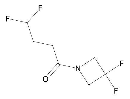 O=C(CCC(F)F)N1CC(F)(F)C1